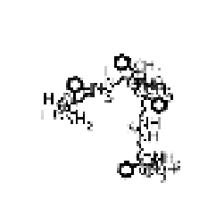 CC(CCCNC(=S)NCCCC(C)(OP(N)(=O)OC(C)(CCCNC(=S)NCCCC(C)(OP(N)(=O)O)c1ccccc1)c1ccccc1)c1ccccc1)(OP(N)(=O)O)c1ccccc1